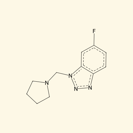 Fc1ccc2nnn(CN3CCCC3)c2c1